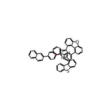 c1ccc(-c2cccc(-c3cccc4oc5cccc(-c6nc(-c7ccc(-c8ccc9ccccc9c8)cc7)nc(-c7cccc8sc9ccccc9c78)n6)c5c34)c2)cc1